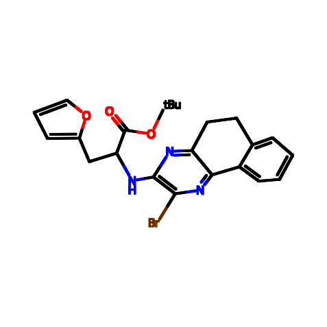 CC(C)(C)OC(=O)C(Cc1ccco1)Nc1nc2c(nc1Br)-c1ccccc1CC2